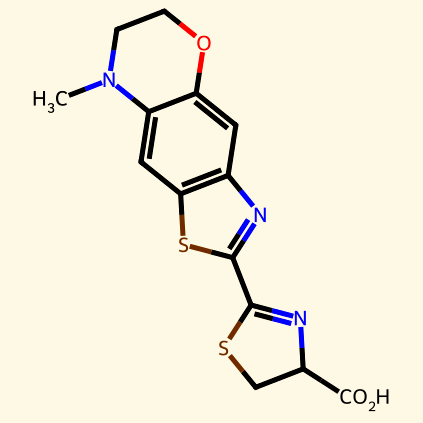 CN1CCOc2cc3nc(C4=NC(C(=O)O)CS4)sc3cc21